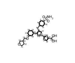 NS(=O)(=O)c1ccc(Cc2cn(-c3nc(C(O)O)cs3)nc2-c2cccc(OCC3CCOC3)c2)cc1